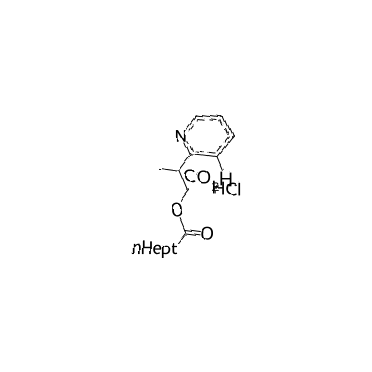 CCCCCCCC(=O)OCC(C)c1ncccc1C(=O)O.Cl